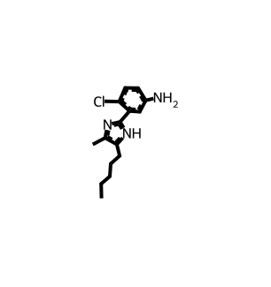 CCCCCc1[nH]c(-c2cc(N)ccc2Cl)nc1C